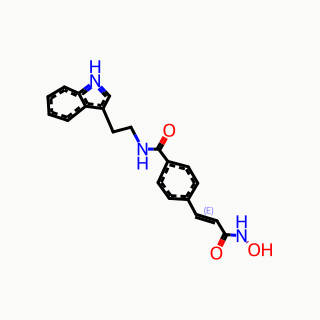 O=C(/C=C/c1ccc(C(=O)NCCc2c[nH]c3ccccc23)cc1)NO